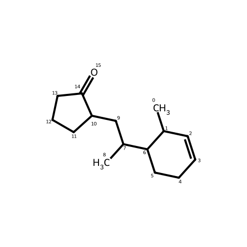 CC1C=CCCC1C(C)CC1CCCC1=O